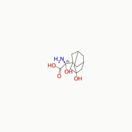 N[C@@](O)(C(=O)O)C12CC3CC(CC(O)(C3)C1)C2